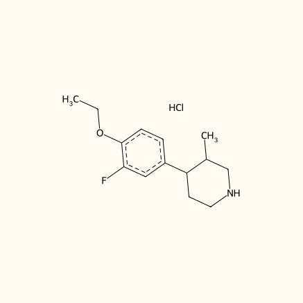 CCOc1ccc(C2CCNCC2C)cc1F.Cl